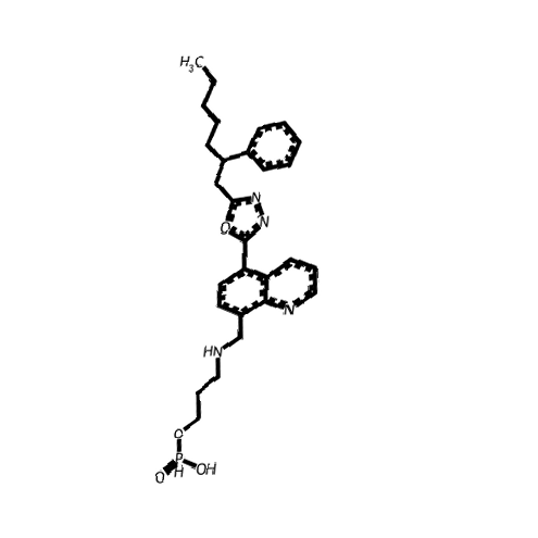 CCCCCC(Cc1nnc(-c2ccc(CNCCCO[PH](=O)O)c3ncccc23)o1)c1ccccc1